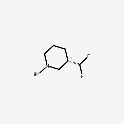 CC(C)N1CCC[C@H](C(F)F)C1